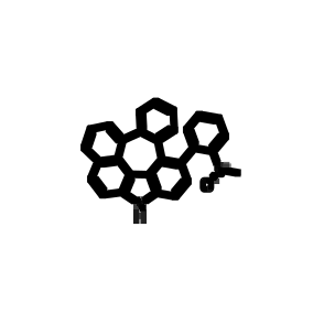 C[S+]([O-])c1ccccc1-c1ccc2[nH]c3ccc4cccc5c4c3c2c1-c1ccccc1-5